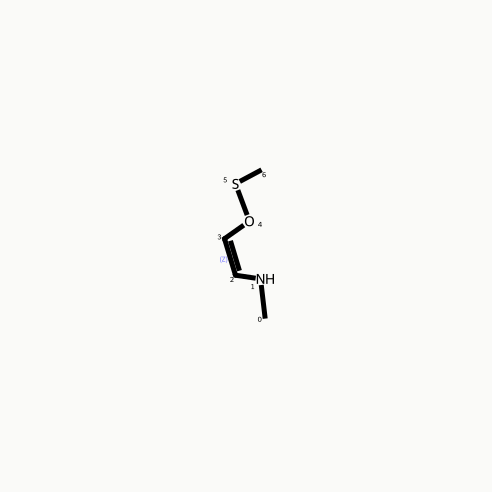 CN/C=C\OSC